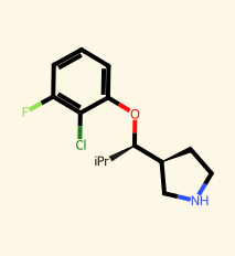 CC(C)[C@@H](Oc1cccc(F)c1Cl)[C@H]1CCNC1